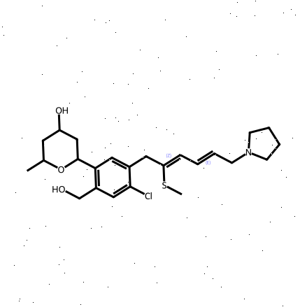 CS/C(=C\C=C\CN1CCCC1)Cc1cc(C2CC(O)CC(C)O2)c(CO)cc1Cl